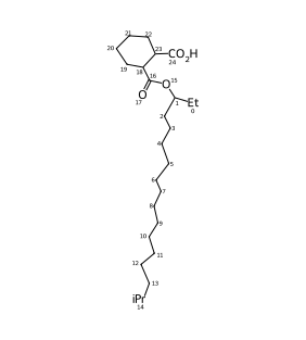 CCC(CCCCCCCCCCCCC(C)C)OC(=O)C1CCCCC1C(=O)O